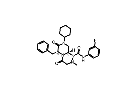 CN1CC(=O)N2[C@@H](Cc3ccccc3)C(=O)N(C3CCCCC3)C[C@@H]2N1C(=O)Nc1cccc(F)c1